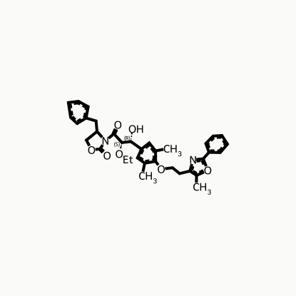 CCO[C@H](C(=O)N1C(=O)OCC1Cc1ccccc1)[C@H](O)c1cc(C)c(OCCc2nc(-c3ccccc3)oc2C)c(C)c1